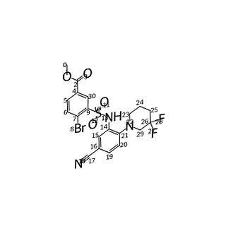 COC(=O)c1ccc(Br)c(S(=O)(=O)Nc2cc(C#N)ccc2N2CCCC(F)(F)C2)c1